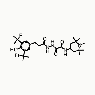 CCC(C)(C)c1cc(CCC(=O)NNC(=O)C(=O)NC2CC(C)(C)N(C)C(C)(C)C2)cc(C(C)(C)CC)c1O